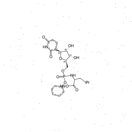 COC(=O)C(CC(C)C)NP(=O)(OC[C@H]1O[C@@H](n2ccc(=O)[nH]c2=O)[C@H](O)[C@@H]1O)Oc1ccccc1